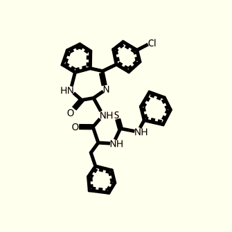 O=C(NC1N=C(c2ccc(Cl)cc2)c2ccccc2NC1=O)C(Cc1ccccc1)NC(=S)Nc1ccccc1